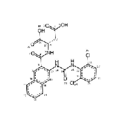 O=C(O)C[C@H](NC(=O)c1cc2ccccc2cc1NC(=O)Nc1c(Cl)cccc1Cl)C(=O)O